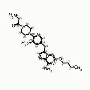 CCCCOc1nc(N)c2ncc(Cc3cnc(N4CCN(C(=O)CN)CC4)c(C)c3)n2n1